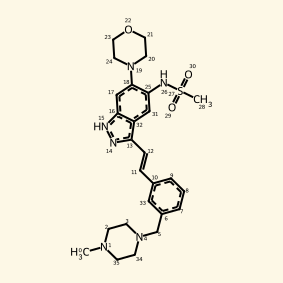 CN1CCN(Cc2cccc(/C=C/c3n[nH]c4cc(N5CCOCC5)c(NS(C)(=O)=O)cc34)c2)CC1